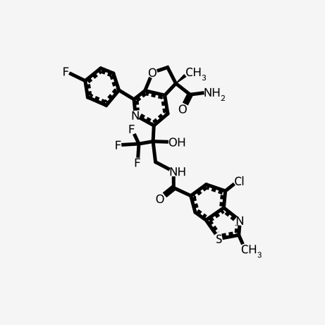 Cc1nc2c(Cl)cc(C(=O)NCC(O)(c3cc4c(c(-c5ccc(F)cc5)n3)OC[C@]4(C)C(N)=O)C(F)(F)F)cc2s1